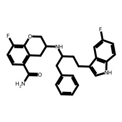 NC(=O)c1ccc(F)c2c1CC(NC(CCc1c[nH]c3ccc(F)cc13)Cc1ccccc1)CO2